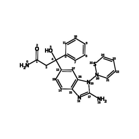 NC(=O)CC(O)(c1ccccc1)c1ccc2nc(N)n(N3C=CC=CS3)c2c1